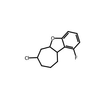 Fc1cccc2c1C1CCCC(Cl)CC1O2